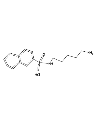 Cl.NCCCCCNS(=O)(=O)c1ccc2ccccc2c1